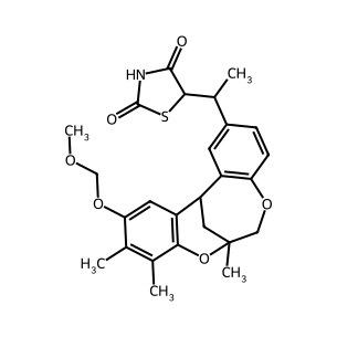 COCOc1cc2c(c(C)c1C)OC1(C)COc3ccc(C(C)C4SC(=O)NC4=O)cc3C2C1